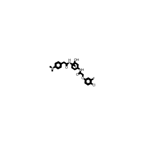 CN(C)c1ccc(CC(=O)NC23CCC(NC(=O)COc4ccc(Cl)c(F)c4)(CC2)CC3O)cc1